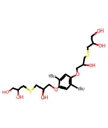 CC(C)(C)c1cc(OCC(O)CSCC(O)CO)c(C(C)(C)C)cc1OCC(O)CSCC(O)CO